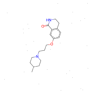 CC1CCN(CCCOc2ccc3c(c2)C(=O)NCC3)CC1